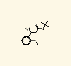 CSc1ccccc1C(N)CC(=O)OC(C)(C)C